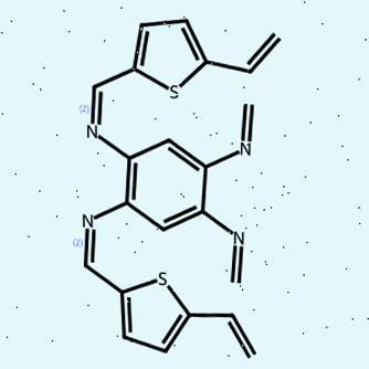 C=Cc1ccc(/C=N\c2cc(N=C)c(N=C)cc2/N=C\c2ccc(C=C)s2)s1